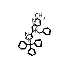 Cc1ccc2c(cc(-c3cn(C(c4ccccc4)(c4ccccc4)c4ccccc4)cn3)n2Cc2ccccc2)n1